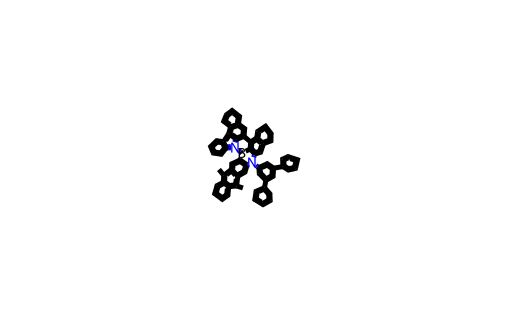 Cc1c2ccccc2c(C)c2cc3c(cc12)B1c2c(cc4ccccc4c2-c2cc4ccccc4c4c5ccccc5n1c24)N3c1cc(-c2ccccc2)cc(-c2ccccc2)c1